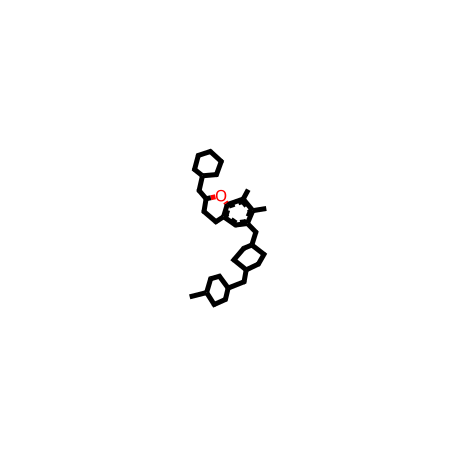 Cc1c(CC2CCC(CC3CCC(C)CC3)CC2)cc2c(c1C)OC(CC1CCCCC1)CC2